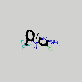 Cc1nc(N)c(Cl)cc1Nc1ccccc1C(F)(F)F